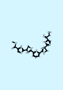 COC(=O)c1coc(C2CSC(c3cccc(C4=NC(c5nc(C(=O)CO)co5)CO4)n3)=N2)n1